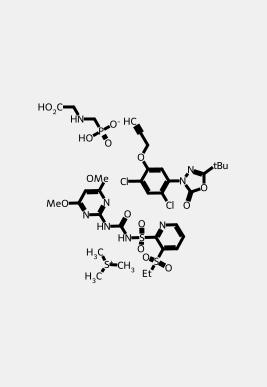 C#CCOc1cc(-n2nc(C(C)(C)C)oc2=O)c(Cl)cc1Cl.CCS(=O)(=O)c1cccnc1S(=O)(=O)NC(=O)Nc1nc(OC)cc(OC)n1.C[S+](C)C.O=C(O)CNCP(=O)([O-])O